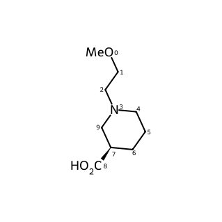 COCCN1CCC[C@@H](C(=O)O)C1